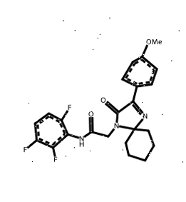 COc1ccc(C2=NC3(CCCCC3)N(CC(=O)Nc3c(F)ccc(F)c3F)C2=O)cc1